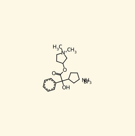 C[N+]1(C)CCC(OC(=O)C(O)(c2ccccc2)C2CCCC2)C1.N.[Br-]